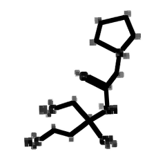 CCCC(C)(CC)NC(=O)CN1CCCC1